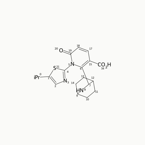 CC(C)c1cnc(-n2c(C3NC4CCC3CC4)c(C(=O)O)ccc2=O)s1